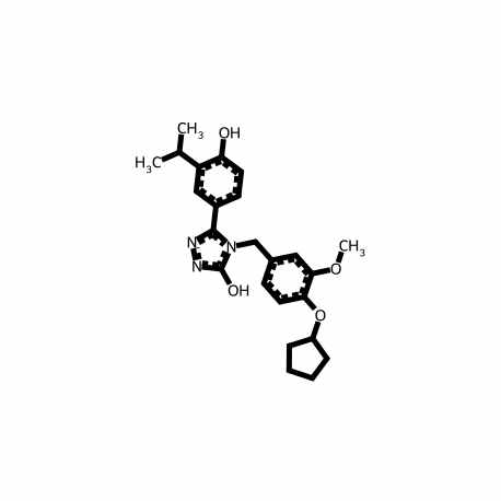 COc1cc(Cn2c(O)nnc2-c2ccc(O)c(C(C)C)c2)ccc1OC1CCCC1